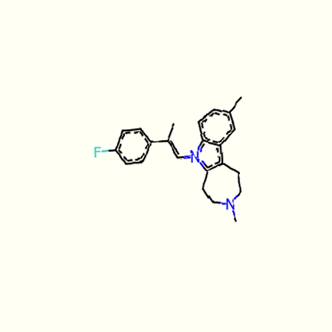 CC(=Cn1c2c(c3cc(C)ccc31)CCN(C)CC2)c1ccc(F)cc1